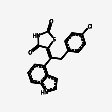 O=C1NC(=O)C(=C(Cc2ccc(Cl)cc2)c2cccc3[nH]ccc23)S1